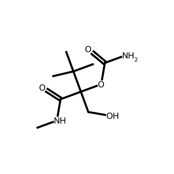 CNC(=O)C(CO)(OC(N)=O)C(C)(C)C